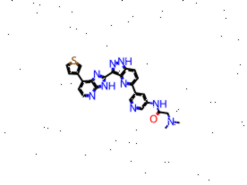 CN(C)CC(=O)Nc1cncc(-c2ccc3[nH]nc(-c4nc5c(-c6ccsc6)ccnc5[nH]4)c3n2)c1